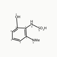 CNc1cccc(O)c1NS(=O)(=O)O